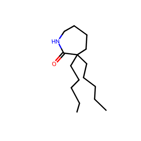 CCCCCC1(CCCCC)CCCCNC1=O